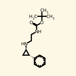 CC(C)(C)OC(=O)NCCN[C@@H]1C[C@H]1c1ccccc1